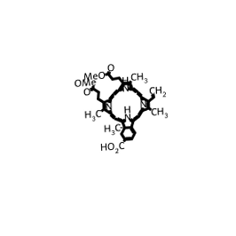 C=CC1=C(C)c2cc3[nH]c(cc4nc(cc5[nH]c(cc1n2)c(C)c5CCC(=O)OC)C(CCC(=O)OC)=C4C)[C@]1(C)CC(C(=O)O)=CC=C31